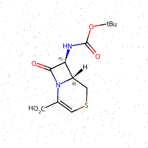 CC(C)(C)OC(=O)N[C@@H]1C(=O)N2C(C(=O)O)=CSC[C@@H]12